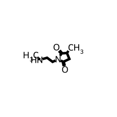 CNCCN1C(=O)CC(C)C1=O